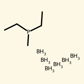 B.B.B.B.B.B.CCP(C)CC